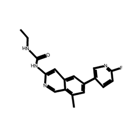 CCNC(=O)Nc1cc2cc(-c3ccc(F)nc3)cc(C)c2cn1